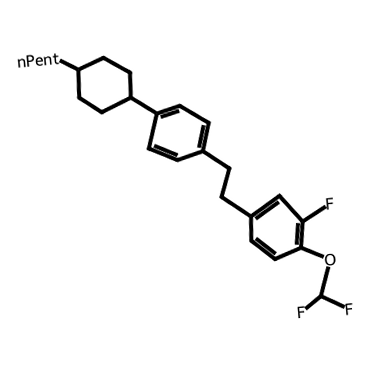 CCCCCC1CCC(c2ccc(CCc3ccc(OC(F)F)c(F)c3)cc2)CC1